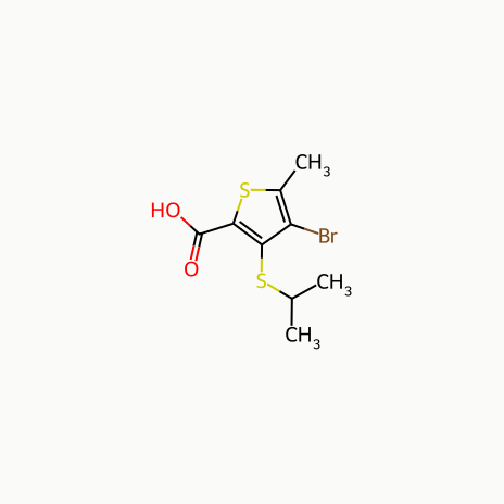 Cc1sc(C(=O)O)c(SC(C)C)c1Br